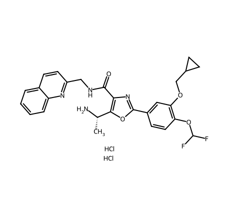 C[C@H](N)c1oc(-c2ccc(OC(F)F)c(OCC3CC3)c2)nc1C(=O)NCc1ccc2ccccc2n1.Cl.Cl